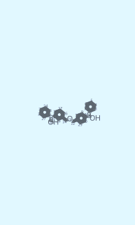 OB(c1ccccc1)c1ccc(COCc2cccc(B(O)c3ccccc3)c2)cc1